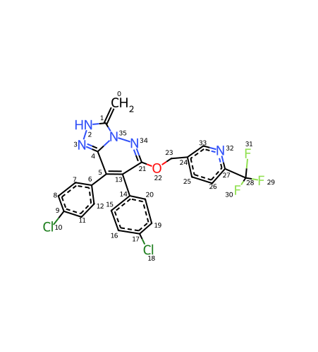 C=C1NN=C2C(c3ccc(Cl)cc3)=C(c3ccc(Cl)cc3)C(OCc3ccc(C(F)(F)F)nc3)=NN12